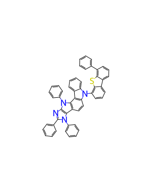 c1ccc(-c2cccc3c2sc2c(-n4c5ccccc5c5c4ccc4c6c(nc(-c7ccccc7)n6-c6ccccc6)n(-c6ccccc6)c45)cccc23)cc1